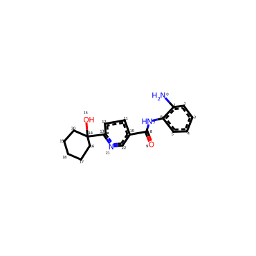 Nc1ccccc1NC(=O)c1ccc(C2(O)CCCCC2)nc1